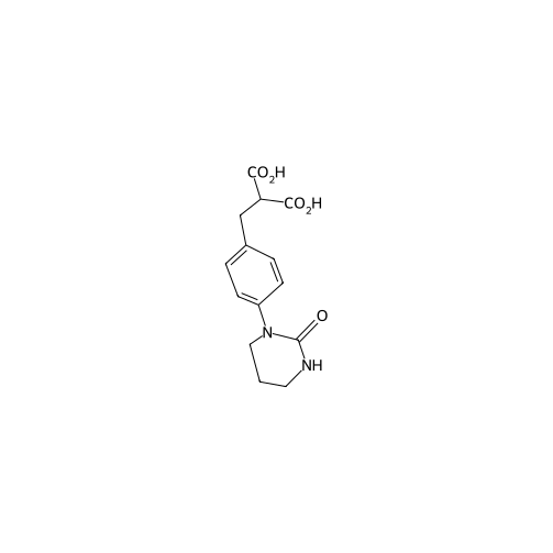 O=C(O)C(Cc1ccc(N2CCCNC2=O)cc1)C(=O)O